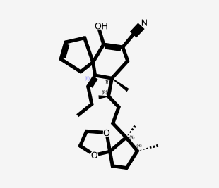 CC/C=C1/C2(CC=CC2)C(O)=C(C#N)C[C@]1(C)[C@H](C)CC[C@@]1(C)[C@H](C)CCC12OCCO2